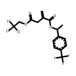 C=C(CC(=O)OCC(Cl)(Cl)Cl)C(=O)OC(C)c1ccc(C(F)(F)F)cc1